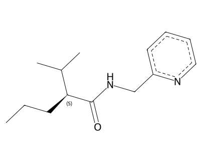 CCC[C@H](C(=O)NCc1ccccn1)C(C)C